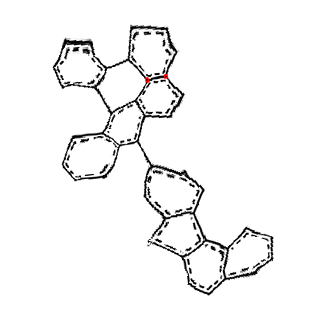 c1ccc(-c2ccccc2-c2c3ccccc3c(-c3ccc4c(c3)sc3ccc5ccccc5c34)c3ccccc23)cc1